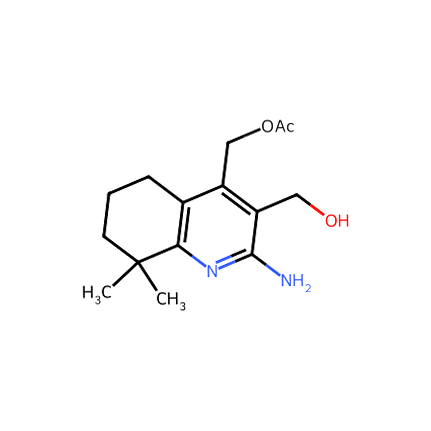 CC(=O)OCc1c(CO)c(N)nc2c1CCCC2(C)C